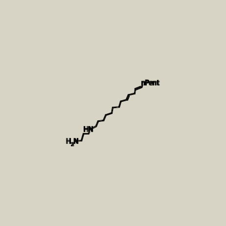 CCCCCC=CCC=CCCCCCCCCNCCCN